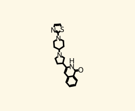 O=c1[nH]c(C2CCN(C3CCN(c4nccs4)CC3)C2)cc2ccccc12